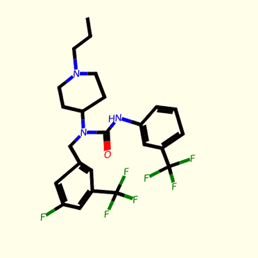 CCCN1CCC(N(Cc2cc(F)cc(C(F)(F)F)c2)C(=O)Nc2cccc(C(F)(F)F)c2)CC1